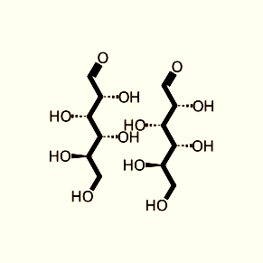 O=C[C@H](O)[C@@H](O)[C@H](O)[C@H](O)CO.O=C[C@H](O)[C@@H](O)[C@H](O)[C@H](O)CO